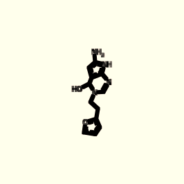 Nc1cc2c([nH]1)N=CN(CCc1ccco1)C2O